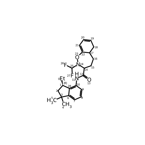 CC[C@@H]1CC(C)(C)c2cccc(NC(=O)C3CCC4CC=CC=C4ON3C(F)F)c21